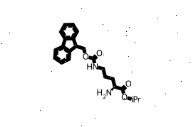 CC(C)OC(=O)[C@@H](N)CCCNC(=O)OCC1c2ccccc2-c2ccccc21